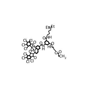 C=CC(=O)OCCCNC(=O)c1cc(NC(=O)c2cc(N3C(=O)c4c(Cl)c(Cl)c(Cl)c(Cl)c4C3=O)c3nc(C4C(=O)c5c(Cl)c(Cl)c(Cl)c(Cl)c5C4=O)ccc3c2)cc(C(=O)NCCCCN(CC)CC)c1